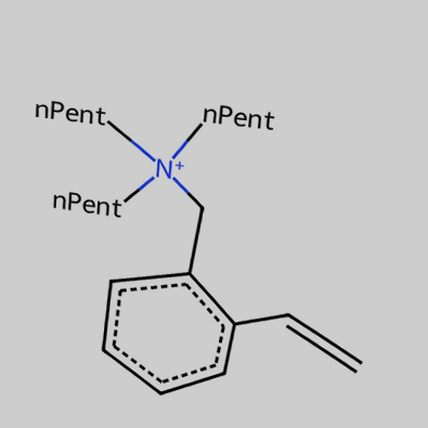 C=Cc1ccccc1C[N+](CCCCC)(CCCCC)CCCCC